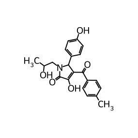 Cc1ccc(C(=O)C2=C(O)C(=O)N(CC(C)O)C2c2ccc(O)cc2)cc1